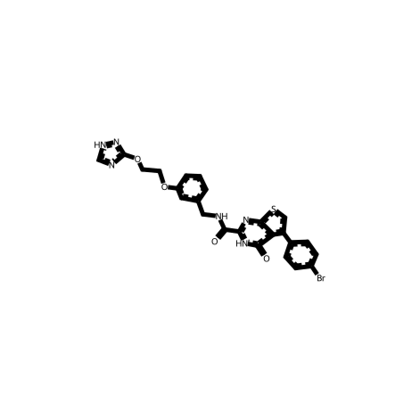 O=C(NCc1cccc(OCCOc2nc[nH]n2)c1)c1nc2scc(-c3ccc(Br)cc3)c2c(=O)[nH]1